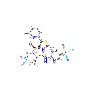 Cc1cccc(-c2sc(C)nc2C(=O)N2CC(F)(F)C[C@@H](C)C2CNc2ncc(C(F)(F)F)cn2)n1